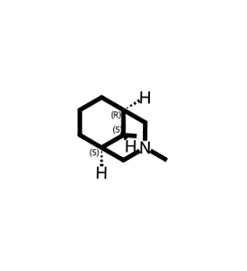 C[C@H]1[C@@H]2CCC[C@H]1CN(C)C2